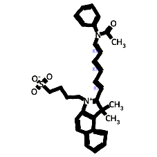 CC(=O)N(/C=C/C=C/C=C/C1=[N+](CCCCS(=O)(=O)[O-])c2ccc3ccccc3c2C1(C)C)c1ccccc1